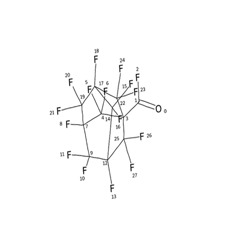 O=C(F)C12C(F)(F)C3(F)C(F)(F)C(F)(C(F)(F)C(F)(C3(F)F)C1(F)F)C2(F)F